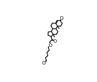 CC12CCC(=O)C=C1CCC1C2CCC2(C)C(C(=O)COCCCCCC=O)CCC12